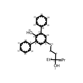 CCC(O)(CCSc1cc(-c2ccccc2)c(O)c(-c2ccccc2)c1)C(C)C